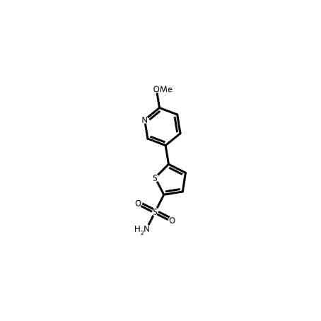 COc1ccc(-c2ccc(S(N)(=O)=O)s2)cn1